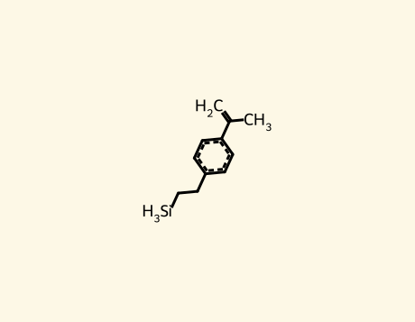 C=C(C)c1ccc(CC[SiH3])cc1